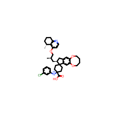 C[C@@H](COc1ccnc2c1[C@H](C)CCC2)C[C@H]1Cc2cc3c(cc2C12CCC(Nc1cccc(Cl)c1)(C(=O)O)CC2)OCCCCO3